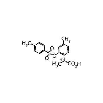 Cc1ccc(S(=O)(=O)Oc2cc(C)ccc2[C@H](C)C(=O)O)cc1